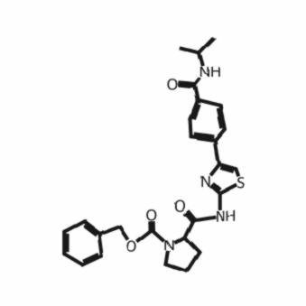 CC(C)NC(=O)c1ccc(-c2csc(NC(=O)C3CCCN3C(=O)OCc3ccccc3)n2)cc1